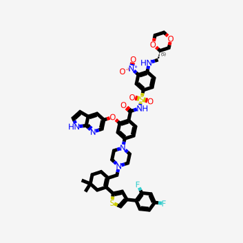 CC1(C)CCC(CN2CCN(c3ccc(C(=O)NS(=O)(=O)c4ccc(NC[C@H]5COCCO5)c([N+](=O)[O-])c4)c(Oc4cnc5[nH]ccc5c4)c3)CC2)=C(c2cc(-c3ccc(F)cc3F)cs2)C1